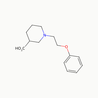 O=C(O)C1CCCN(CCOc2ccccc2)C1